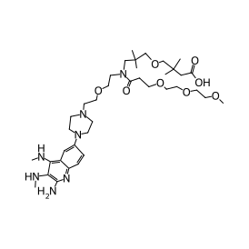 CNc1c(N)nc2ccc(N3CCN(CCOCCN(CC(C)(C)COCC(C)(C)CC(=O)O)C(=O)CCOCCOCCOC)CC3)cc2c1NC